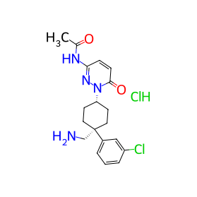 CC(=O)Nc1ccc(=O)n([C@H]2CC[C@](CN)(c3cccc(Cl)c3)CC2)n1.Cl